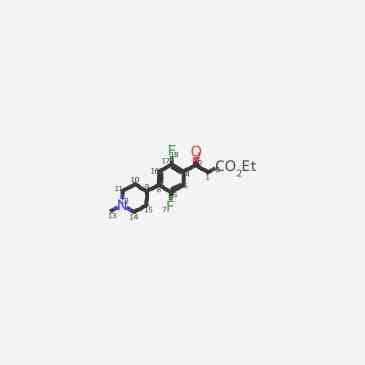 CCOC(=O)CC(=O)c1cc(F)c(C2CCN(C)CC2)cc1F